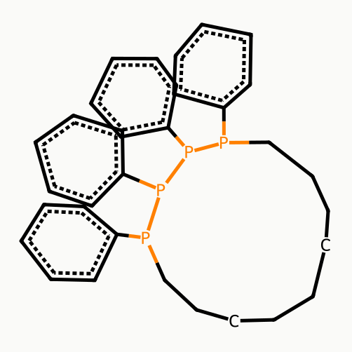 c1ccc(P2CCCCCCCCCP(c3ccccc3)P(c3ccccc3)P2c2ccccc2)cc1